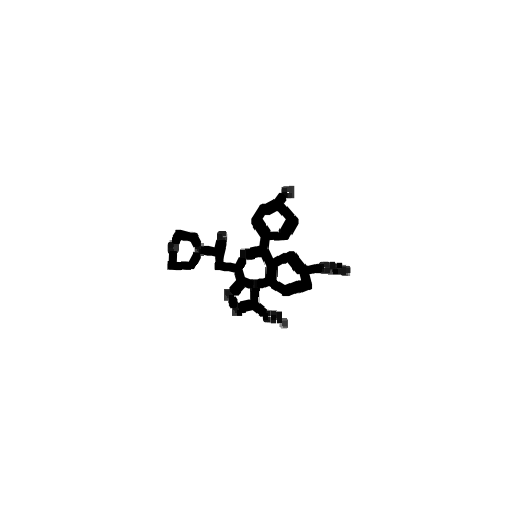 COc1ccc2c(c1)C(c1ccc(Cl)cc1)=NC(CC(=O)N1CCOCC1)c1nnc(C)n1-2